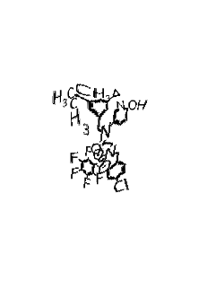 CC(C)(C)c1cc(CN(C(=O)CN(Cc2ccc(Cl)cc2)S(=O)(=O)c2c(F)c(F)c(F)c(F)c2F)c2ccc(O)nc2)cc(C2CC2)c1